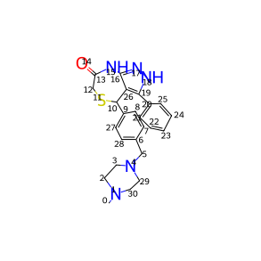 CN1CCN(Cc2ccc(C3SCC(=O)Nc4n[nH]c(-c5ccccc5)c43)cc2)CC1